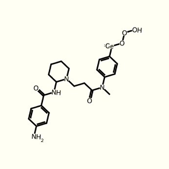 CN(C(=O)CCN1CCCCC1NC(=O)c1ccc(N)cc1)c1cc[c]([Ge][O]OO)cc1